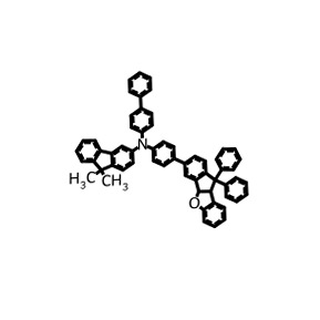 CC1(C)c2ccccc2-c2cc(N(c3ccc(-c4ccccc4)cc3)c3ccc(-c4ccc5c(c4)C4Oc6ccccc6C4C5(c4ccccc4)c4ccccc4)cc3)ccc21